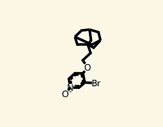 [O-][n+]1ccc(OCCC23CC4CC(CC(C4)C2)C3)c(Br)c1